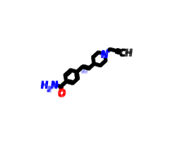 C#CCN1CCC(/C=C/c2ccc(C(N)=O)cc2)CC1